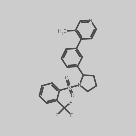 Cc1cnccc1-c1cccc(C2CCCN2S(=O)(=O)c2ccccc2C(F)(F)F)c1